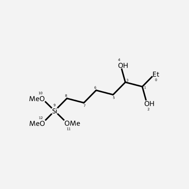 CCC(O)C(O)CCCC[Si](OC)(OC)OC